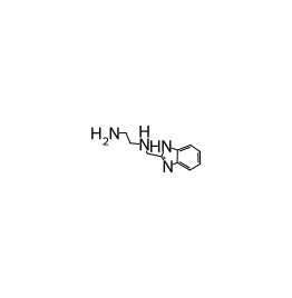 NCCNCc1nc2ccccc2[nH]1